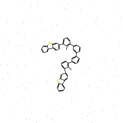 Cc1c(-c2cccc(-c3cccc(-c4cccc(-c5ccc6c(c5)sc5ccccc56)c4C)c3)c2)cccc1-c1ccc2c(c1)sc1ccccc12